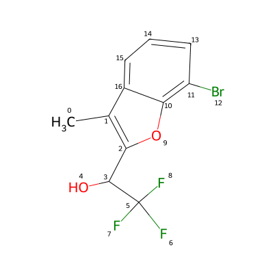 Cc1c(C(O)C(F)(F)F)oc2c(Br)cccc12